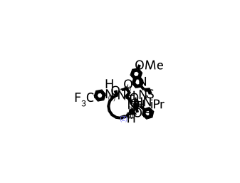 COc1ccc2c(O[C@@H]3C[C@H]4C(=O)N[C@]5(P(=O)(O)Cc6ccccc6)C[C@H]5/C=C\CCCCC[C@H](Nc5ccc(C(F)(F)F)cc5)C(=O)N4C3)cc(-c3csc(NC(C)C)n3)nc2c1